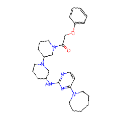 O=C(COc1ccccc1)N1CCCC(N2CCCC(Nc3nccc(N4CCCCCC4)n3)C2)C1